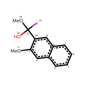 COc1cc2ccccc2cc1C(O)(I)OC